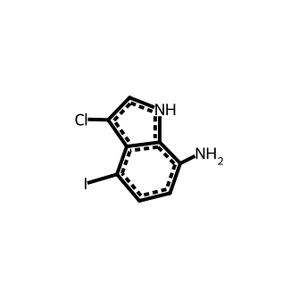 Nc1ccc(I)c2c(Cl)c[nH]c12